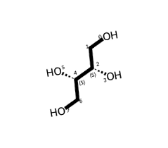 O[CH][C@H](O)[C@@H](O)CO